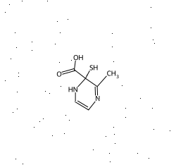 CC1=NC=CNC1(S)C(=O)O